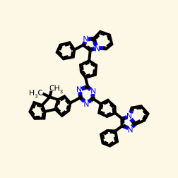 CC1(C)c2ccccc2-c2ccc(-c3nc(-c4ccc(-c5c(-c6ccccc6)nc6ccccn56)cc4)nc(-c4ccc(-c5c(-c6ccccc6)nc6ccccn56)cc4)n3)cc21